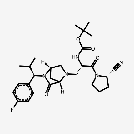 CC(C)[C@H](c1ccc(F)cc1)N1C(=O)[C@@H]2C[C@H]1CN2C[C@H](NC(=O)OC(C)(C)C)C(=O)N1CCC[C@H]1C#N